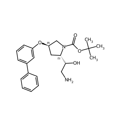 CC(C)(C)OC(=O)N1C[C@H](Oc2cccc(-c3ccccc3)c2)C[C@H]1C(O)CN